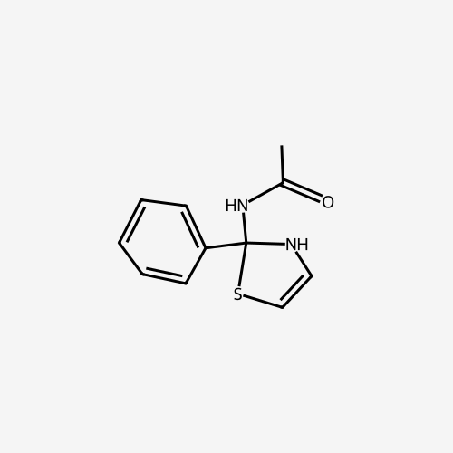 CC(=O)NC1(c2ccccc2)NC=CS1